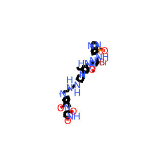 CCc1cc(Nc2ncc(Br)c(Nc3ccc4nccnc4c3P(C)(C)=O)n2)c(OC)cc1N1CCC(NCCNCCN(C)c2ccc3c(c2)C(=O)N(C2CCC(=O)NC2=O)C3)CC1